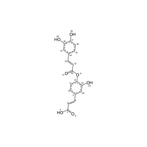 O=C(O)C=Cc1ccc(OC(=O)C=Cc2ccc(O)c(O)c2)c(O)c1